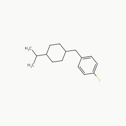 CC(C)C1CCC(Cc2ccc(F)cc2)CC1